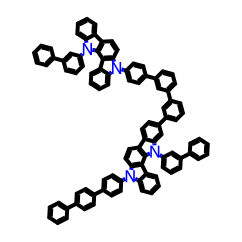 c1ccc(-c2ccc(-c3ccc(-n4c5ccccc5c5c4ccc4c6ccc(-c7cccc(-c8cccc(-c9ccc(-n%10c%11ccccc%11c%11c%10ccc%10c%12ccccc%12n(-c%12cccc(-c%13ccccc%13)c%12)c%10%11)cc9)c8)c7)cc6n(-c6cccc(-c7ccccc7)c6)c45)cc3)cc2)cc1